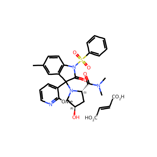 COc1ncccc1C1(N2C[C@H](O)C[C@H]2C(=O)N(C)C)C(=O)N(S(=O)(=O)c2ccccc2)c2ccc(C)cc21.O=C(O)C=CC(=O)O